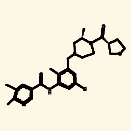 Cc1cc(C(=O)Nc2cc(Cl)cc(CN3CCN(C(=O)[C@@H]4CCOC4)[C@@H](C)C3)c2C)cnc1C